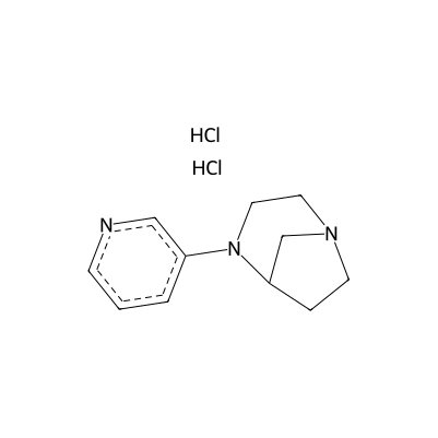 Cl.Cl.c1cncc(N2CCN3CCC2C3)c1